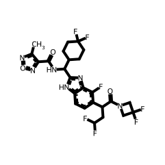 Cc1nonc1C(=O)NC(c1nc2c(F)c(C(CC(F)F)C(=O)N3CC(F)(F)C3)ccc2[nH]1)C1CCC(F)(F)CC1